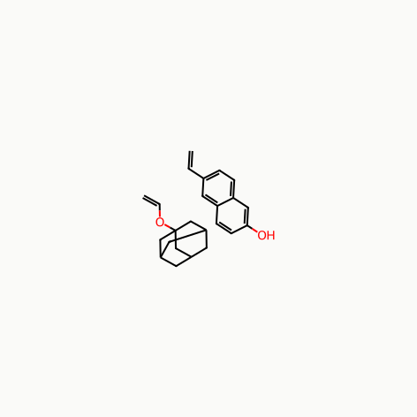 C=COC12CC3CC(CC(C3)C1)C2.C=Cc1ccc2cc(O)ccc2c1